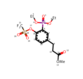 CCOP(=O)(OCC)c1cc(CCC(=O)OC)ccc1OS(=O)(=O)C(F)(F)F